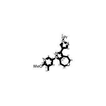 CCCn1cc(-c2nn(-c3cnc(OC)c(C)c3)c3c2CCOCC3)cn1